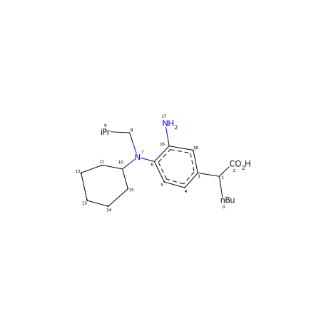 CCCCC(C(=O)O)c1ccc(N(CC(C)C)C2CCCCC2)c(N)c1